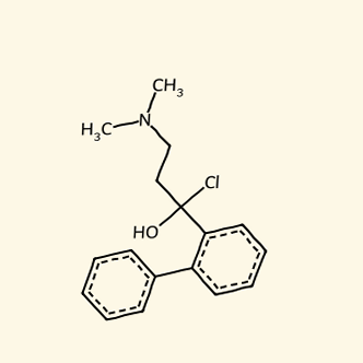 CN(C)CCC(O)(Cl)c1ccccc1-c1ccccc1